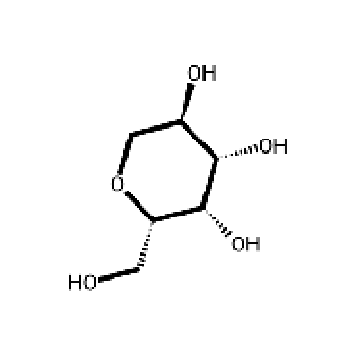 OC[C@@H]1OC[C@@H](O)[C@H](O)[C@@H]1O